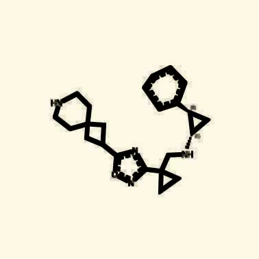 c1ccc([C@H]2C[C@@H]2NCC2(c3noc(C4CC5(CCNCC5)C4)n3)CC2)cc1